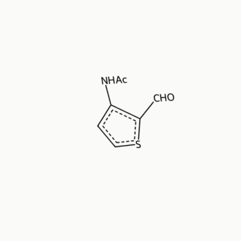 CC(=O)Nc1ccsc1C=O